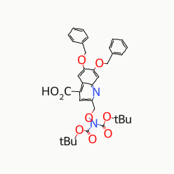 CC(C)(C)OC(=O)N(OCc1cc(C(=O)O)c2cc(OCc3ccccc3)c(OCc3ccccc3)cc2n1)C(=O)OC(C)(C)C